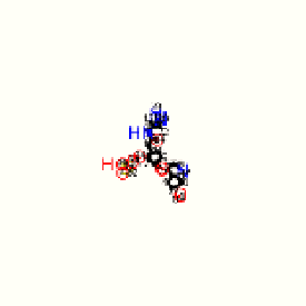 COc1ccc2c(Oc3ccc(CC(=O)Nc4cn(C)nc4C)c(OC)c3)ccnc2c1.CS(=O)(=O)O